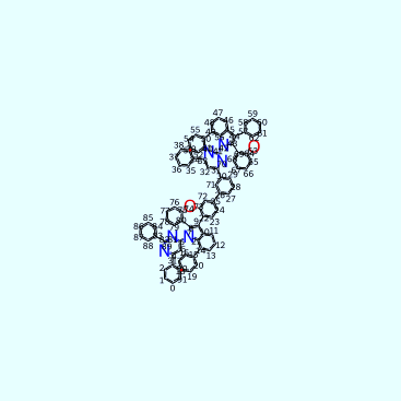 c1ccc(-c2cc(-n3c4c(c5cccc(-c6ccccc6)c53)-c3ccc(-c5cccc(-c6cc(-c7ccccc7)nc(-n7c8c(c9cccc(-c%10ccccc%10)c97)-c7ccccc7Oc7ccccc7-8)n6)c5)cc3Oc3ccccc3-4)nc(-c3ccccc3)n2)cc1